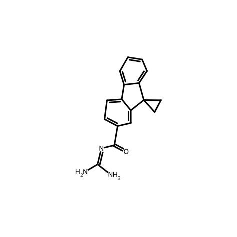 NC(N)=NC(=O)c1ccc2c(c1)C1(CC1)c1ccccc1-2